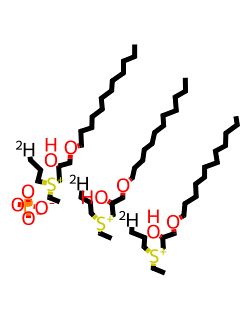 O=P([O-])([O-])[O-].[2H]CCC[S+](CC)CC(O)COCCCCCCCCCCCC.[2H]CCC[S+](CC)CC(O)COCCCCCCCCCCCC.[2H]CCC[S+](CC)CC(O)COCCCCCCCCCCCC